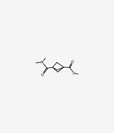 COC(=O)C12CC(C(=O)N(C)C)(C1)C2